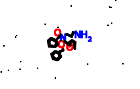 NCCCN(Cc1ccco1)C(=O)c1ccccc1OCc1ccccc1